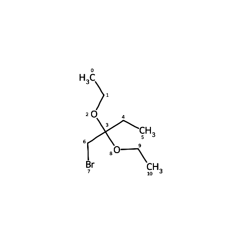 CCOC(CC)(CBr)OCC